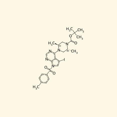 Cc1ccc(S(=O)(=O)n2cc(I)c3c(N4C[C@@H](C)N(C(=O)OC(C)(C)C)C[C@@H]4C)ncnc32)cc1